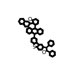 c1ccc(C2Oc3cc4sc5ccc(-c6c7ccccc7c(-c7cccc8oc9c%10ccccc%10ccc9c78)c7ccccc67)cc5c4cc3C2c2ccccc2)cc1